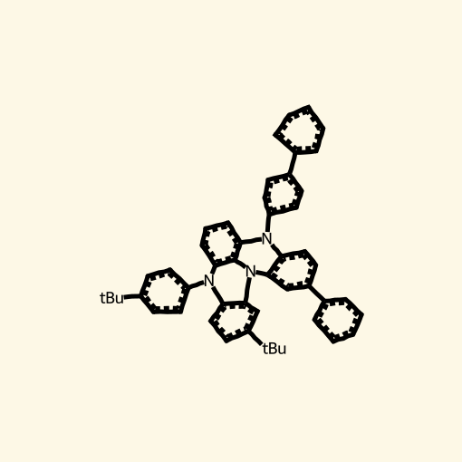 CC(C)(C)c1ccc(N2c3ccc(C(C)(C)C)cc3N3c4cc(-c5ccccc5)ccc4N(c4ccc(-c5ccccc5)cc4)c4cccc2c43)cc1